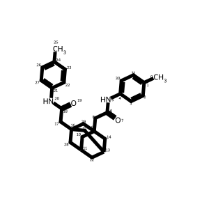 Cc1ccc(NC(=O)CC23CC4CC(C2)CC(CC(=O)Nc2ccc(C)cc2)(C4)C3)cc1